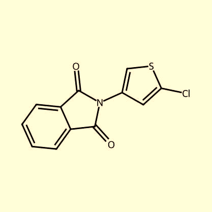 O=C1c2ccccc2C(=O)N1c1csc(Cl)c1